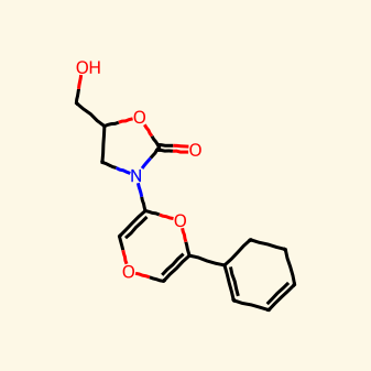 O=C1OC(CO)CN1C1=COC=C(C2=CC=CCC2)O1